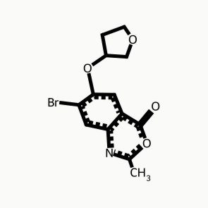 Cc1nc2cc(Br)c(OC3CCOC3)cc2c(=O)o1